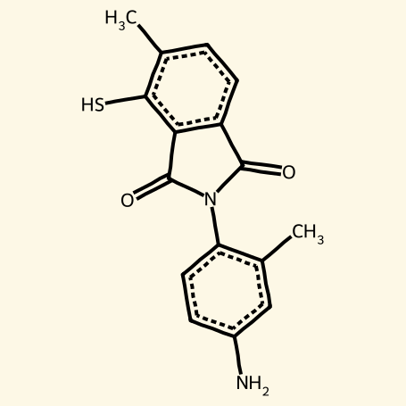 Cc1cc(N)ccc1N1C(=O)c2ccc(C)c(S)c2C1=O